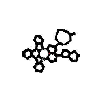 C=C1/C=C\C=C/C/C(c2cccc(-n3c4ccccc4c4c5ccccc5c5c6ccccc6n(-c6ccc(-c7ccc8ccccc8c7)cc6)c5c43)c2)=C\CC1